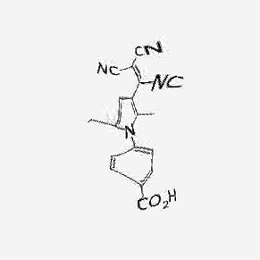 [C-]#[N+]C(=C(C#N)C#N)c1cc(C)n(-c2ccc(C(=O)O)cc2)c1C